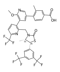 COc1ncc(-c2ccc(C(=O)O)cc2C)cc1-c1ccc(C(F)(F)F)nc1CN1C(=O)S[C@H](c2cc(C(F)(F)F)cc(C(F)(F)F)c2)[C@@H]1C